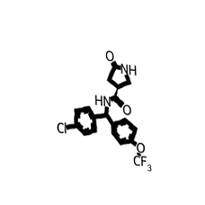 O=C1C[C@H](C(=O)NC(c2ccc(Cl)cc2)c2ccc(OC(F)(F)F)cc2)CN1